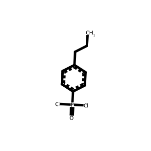 CCCc1ccc(P(=O)(Cl)Cl)cc1